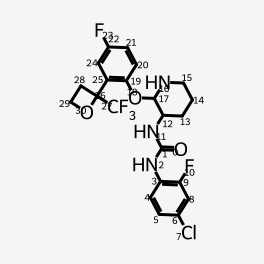 O=C(Nc1ccc(Cl)cc1F)NC1CCCNC1Oc1ccc(F)cc1C1(C(F)(F)F)CCO1